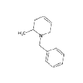 CC1CC=CCN1Cc1ccccc1